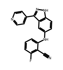 N#Cc1c(F)cccc1Nc1ccc2[nH]nc(-c3ccncc3)c2c1